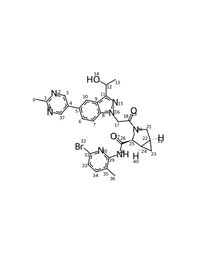 Cc1ncc(-c2ccc3c(c2)c(C(C)O)nn3CC(=O)N2C[C@H]3C[C@H]3[C@H]2C(=O)Nc2nc(Br)ccc2C)cn1